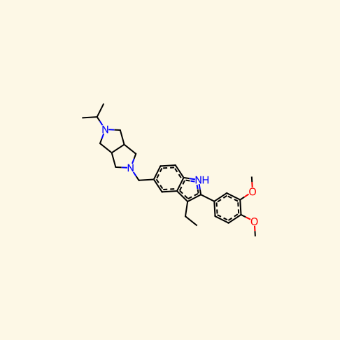 CCc1c(-c2ccc(OC)c(OC)c2)[nH]c2ccc(CN3CC4CN(C(C)C)CC4C3)cc12